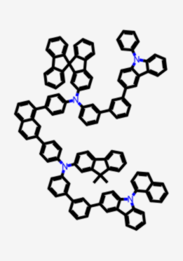 CC1(C)c2ccccc2-c2ccc(N(c3ccc(-c4ccc5cccc(-c6ccc(N(c7cccc(-c8cccc(-c9ccc%10c(c9)c9ccccc9n%10-c9ccccc9)c8)c7)c7ccc8c(c7)C7(c9ccccc9-c9ccccc97)c7ccccc7-8)cc6)c5c4)cc3)c3cccc(-c4cccc(-c5ccc6c(c5)c5ccccc5n6-c5cccc6ccccc56)c4)c3)cc21